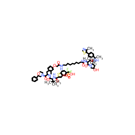 Cc1ncsc1-c1ccc([C@H](C)NC(=O)[C@@H]2C[C@@H](O)CN2C(=O)C(NC(=O)CCCCCCCCCNC(=O)COc2ccc3c(c2)CN(C(=O)C(NC(=O)c2cc4cc(C(F)(F)P(=O)(O)O)ccc4s2)C(C)(C)C)C(C(=O)N2CCOC(c4ccccc4)C2)C3)C(C)(C)C)cc1